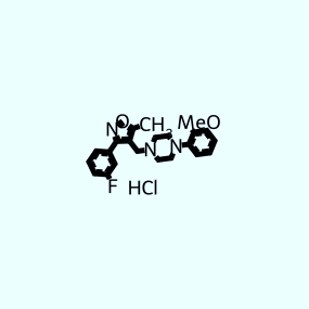 COc1ccccc1N1CCN(Cc2c(-c3cccc(F)c3)noc2C)CC1.Cl